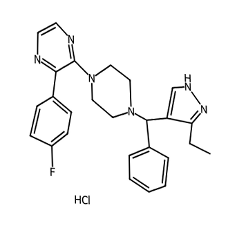 CCc1n[nH]cc1C(c1ccccc1)N1CCN(c2nccnc2-c2ccc(F)cc2)CC1.Cl